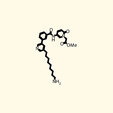 COC(=O)Cn1cc(NC(=O)c2cccc(-c3cncc(CCCCCCCCCN)c3)c2)ccc1=O